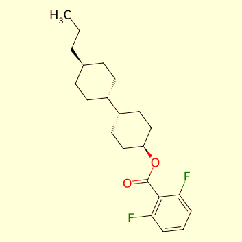 CCC[C@H]1CC[C@H]([C@H]2CC[C@H](OC(=O)c3c(F)cccc3F)CC2)CC1